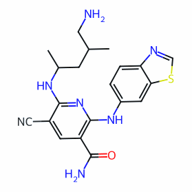 CC(CN)CC(C)Nc1nc(Nc2ccc3ncsc3c2)c(C(N)=O)cc1C#N